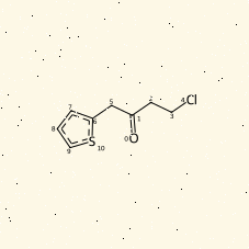 O=C(CCCl)Cc1cccs1